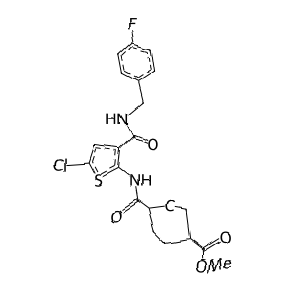 COC(=O)C1CCC(C(=O)Nc2sc(Cl)cc2C(=O)NCc2ccc(F)cc2)CC1